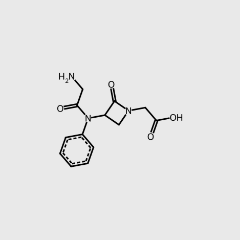 NCC(=O)N(c1ccccc1)C1CN(CC(=O)O)C1=O